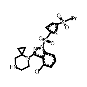 CC(C)S(=O)(=O)c1ccc(S(=O)(=O)n2nc(N3CCNCC34CC4)c3c(Cl)cccc32)s1